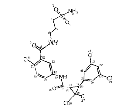 NS(=O)(=O)CCCNC(=O)c1cc(NC(=O)[C@@H]2[C@@H](c3cc(Cl)cc(Cl)c3)C2(Cl)Cl)ccc1Cl